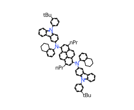 CCCc1cc(N(c2ccc3c(c2)c2ccccc2n3-c2cccc(C(C)(C)C)c2)c2cccc3c2CCCC3)c2ccc3c(CCC)cc(N(c4ccc5c(c4)c4ccccc4n5-c4cccc(C(C)(C)C)c4)c4cccc5c4CCCC5)c4ccc1c2c34